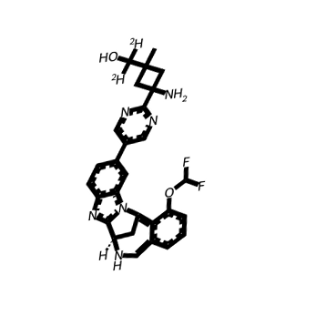 [2H]C([2H])(O)C1(C)CC(N)(c2ncc(-c3ccc4nc5n(c4c3)C3=c4c(OC(F)F)cccc4=CN[C@@H]5C3)cn2)C1